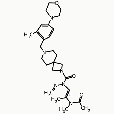 C=NN(/C=C(\C)N(C)C(C)=O)C(=O)N1CC2(CCN(Cc3ccc(N4CCOCC4)cc3C)CC2)C1